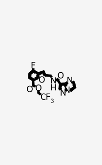 O=C(OCC(F)(F)F)c1ccc(F)c2cc(CNC(=O)c3cnn4cccnc34)oc12